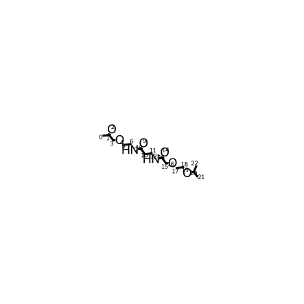 CC(=O)COCCNC(=O)CCNC(=O)COCCOC(C)C